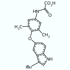 CCC(C)c1c[nH]c2ccc(Oc3c(C)cc(NC(=O)C(=O)O)cc3C)cc12